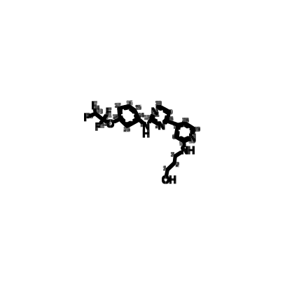 OCCCNc1cc(-c2ccnc(Nc3cccc(OC(F)(F)C(F)F)c3)n2)ccn1